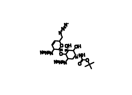 CC(C)(C)OC(=O)N[C@@H]1CC(N=[N+]=[N-])C(O[C@H]2OC(CN=[N+]=[N-])C=CC2N=[N+]=[N-])[C@H](O)C1O